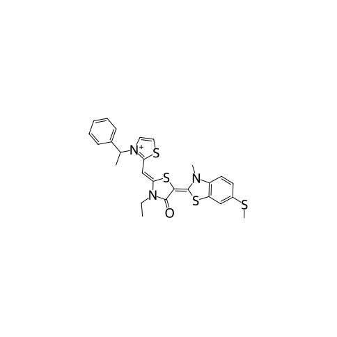 CCn1c(=O)/c(=C2\Sc3cc(SC)ccc3N2C)s/c1=C\c1scc[n+]1C(C)c1ccccc1